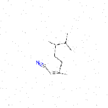 CC(=CC#N)CCC(C)C(C)C